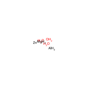 O.O.O.[AlH3].[MgH2].[Zn]